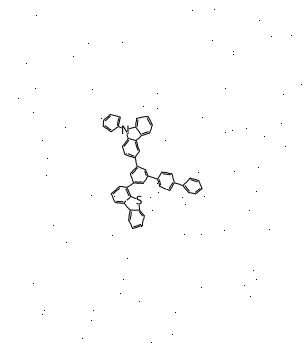 c1ccc(-c2ccc(-c3cc(-c4ccc5c(c4)c4ccccc4n5-c4ccccc4)cc(-c4cccc5c4sc4ccccc45)c3)cc2)cc1